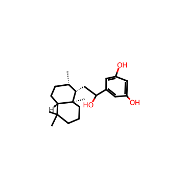 C[C@H]1CC[C@H]2C(C)(C)CCC[C@]2(C)[C@H]1CC(O)c1cc(O)cc(O)c1